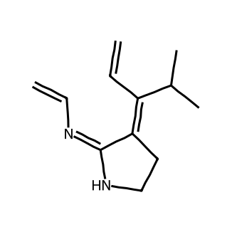 C=C/N=C1/NCC/C1=C(/C=C)C(C)C